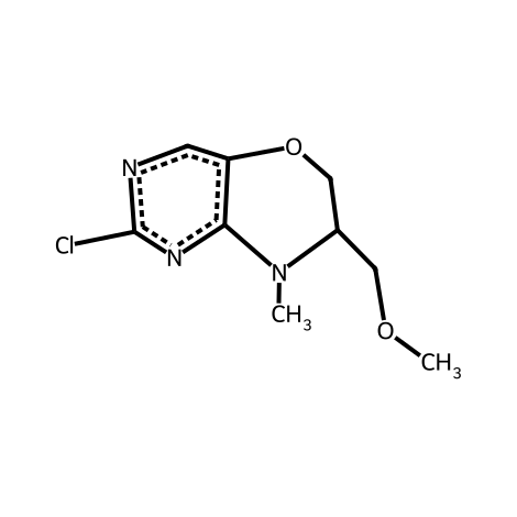 COCC1COc2cnc(Cl)nc2N1C